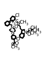 COC(=O)c1ccc(N2CCN(Cc3ccccc3-c3ccc(Cl)cc3)CC2)cc1Oc1ccc2c(c1)c(CCC(=O)N(C)C)cn2C(=O)OC(C)(C)C